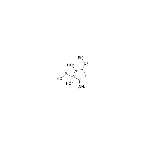 CCOC(C)C(O)[C@@](O)(CN)CO